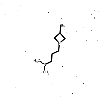 CN(C)CCCN1CC(C(C)(C)C)C1